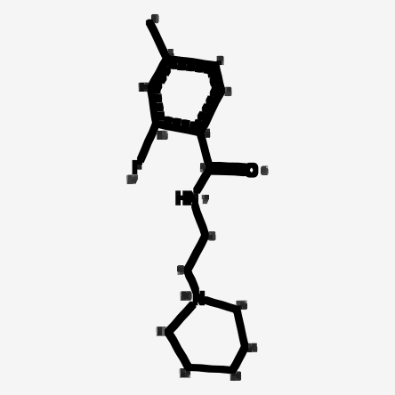 Cc1ccc(C(=O)NCCN2CCCCC2)c(F)c1